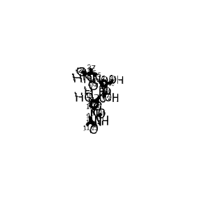 B[PH](O)(OCC1O[C@@H](n2cc(C)c(=O)[nH]c2=O)C[C@H]1O)O[C@@H]1C[C@H](n2cc(C)c(=O)[nH]c2=O)OC1CO